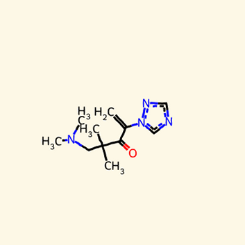 C=C(C(=O)C(C)(C)CN(C)C)n1cncn1